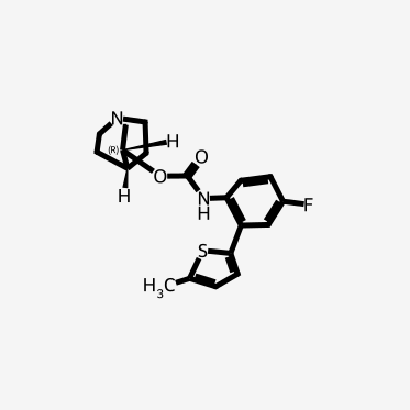 Cc1ccc(-c2cc(F)ccc2NC(=O)O[C@H]2C[N@]3CC[C@H]2CC3)s1